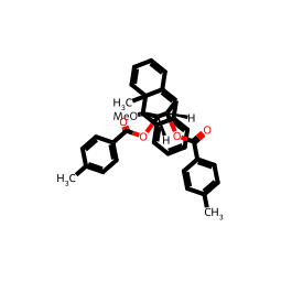 COC12c3ccccc3C(=C3C=CC=CC31C)[C@H](OC(=O)c1ccc(C)cc1)[C@@H]2OC(=O)c1ccc(C)cc1